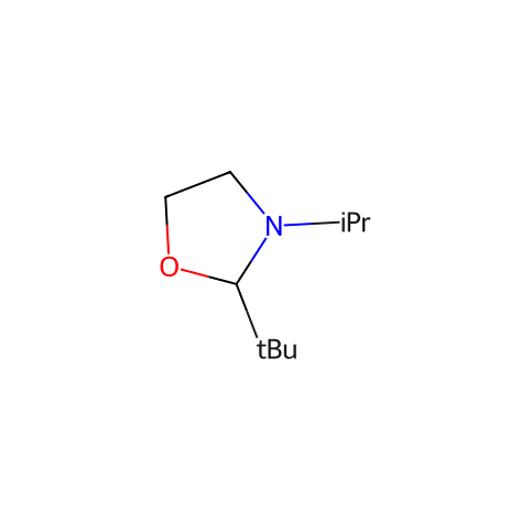 CC(C)N1CCOC1C(C)(C)C